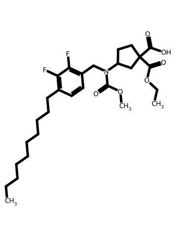 CCCCCCCCCCc1ccc(CN(C(=O)OC)C2CCC(C(=O)O)(C(=O)OCC)C2)c(F)c1F